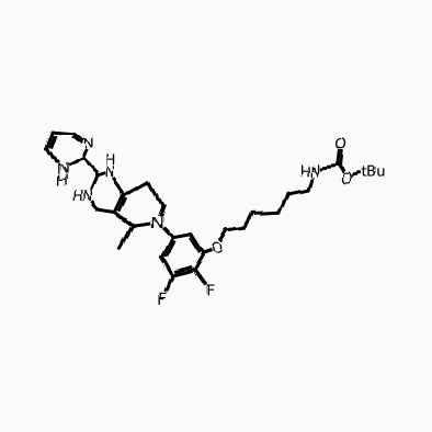 CC1C2=C(CCN1c1cc(F)c(F)c(OCCCCCCNC(=O)OC(C)(C)C)c1)NC(C1N=CC=CN1)NC2